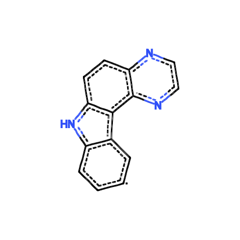 [c]1ccc2[nH]c3ccc4nccnc4c3c2c1